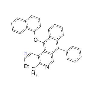 CC/C=C\c1c(C)ncc2c(-c3ccccc3)c3ccccc3c(Oc3cccc4ccccc34)c12